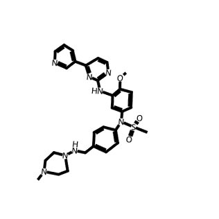 COc1ccc(N(c2ccc(CNN3CCN(C)CC3)cc2)S(C)(=O)=O)cc1Nc1nccc(-c2cccnc2)n1